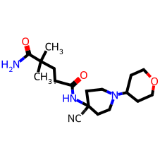 CC(C)(C[CH]C(=O)NC1(C#N)CCN(C2CCOCC2)CC1)C(N)=O